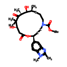 Cc1nc2cc([C@@H]3CCN(C(=O)OC(C)(C)C)CCC[C@H](C)[C@H](O)[C@@H](C)C(=O)C(C)(C)[C@@H](O)CC(=O)O3)ccc2n1C